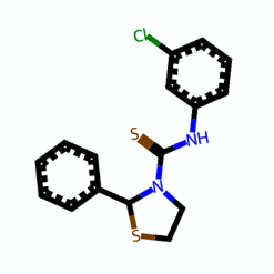 S=C(Nc1cccc(Cl)c1)N1CCSC1c1ccccc1